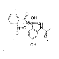 CC(=O)Nc1cc(O)ccc1[As](=O)(O)OC(=O)c1ccccc1[N+](=O)[O-]